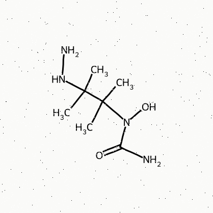 CC(C)(NN)C(C)(C)N(O)C(N)=O